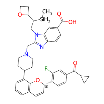 C[SiH2]C(Cn1c(CN2CCC(c3cccc4c3O[C@H](c3ccc(C(=O)C5CC5)cc3F)C=C4)CC2)nc2ccc(C(=O)O)cc21)C1CCO1